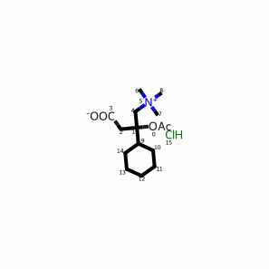 CC(=O)OC(CC(=O)[O-])(C[N+](C)(C)C)C1CCCCC1.Cl